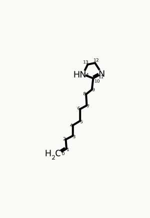 C=CCCCCCCCCC1=NCCN1